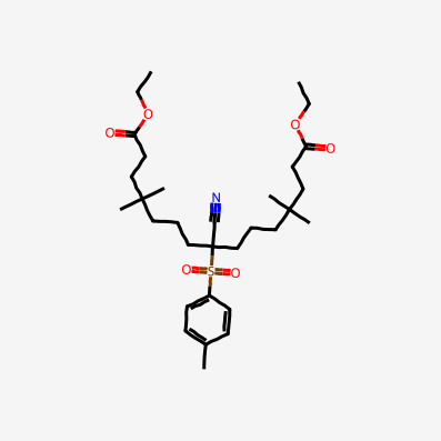 CCOC(=O)CCC(C)(C)CCCC(C#N)(CCCC(C)(C)CCC(=O)OCC)S(=O)(=O)c1ccc(C)cc1